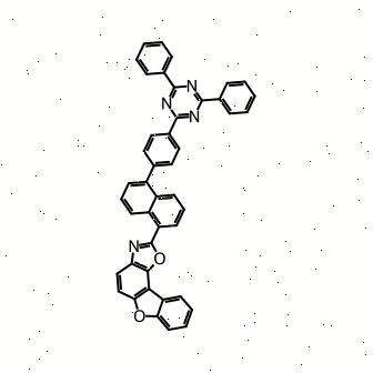 c1ccc(-c2nc(-c3ccccc3)nc(-c3ccc(-c4cccc5c(-c6nc7ccc8oc9ccccc9c8c7o6)cccc45)cc3)n2)cc1